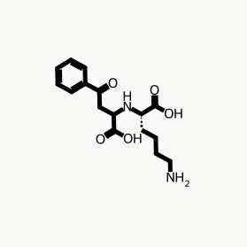 NCCCC[C@H](NC(CC(=O)c1ccccc1)C(=O)O)C(=O)O